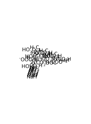 C=CC(C(=O)O)[N+](CC(=O)O)(CC(=O)O)CC(=O)O.C=CC(C(=O)O)[N+](CC(=O)O)(CC(=O)O)CC(=O)O.C=CC(C(=O)O)[N+](CC(=O)[O-])(CC(=O)O)CC(=O)O.C=CC(C(=O)O)[N+](CC(=O)[O-])(CC(=O)[O-])CC(=O)[O-].N.N.N.N.[NaH].[NaH].[NaH].[NaH]